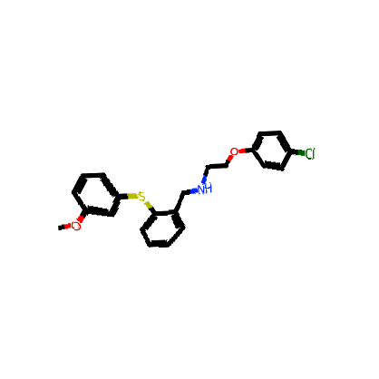 COc1cccc(Sc2ccccc2CNCCOc2ccc(Cl)cc2)c1